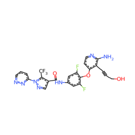 Nc1nccc(Oc2c(F)cc(NC(=O)c3cnn(-c4cccnn4)c3C(F)(F)F)cc2F)c1C#CCO